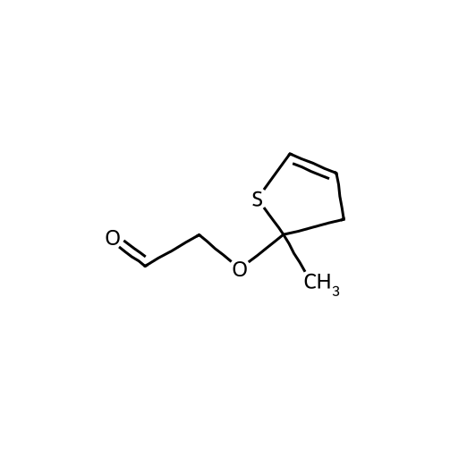 CC1(OCC=O)CC=CS1